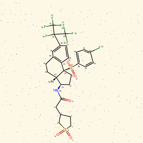 O=C(CC1CCS(=O)(=O)C1)N[C@@H]1CC[C@@]2(S(=O)(=O)c3ccc(F)cc3)c3ccc(C(F)(C(F)(F)F)C(F)(F)F)cc3CC[C@@H]12